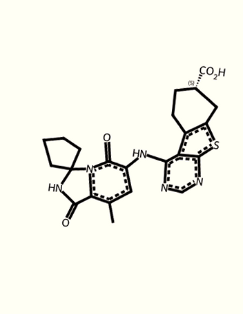 Cc1cc(Nc2ncnc3sc4c(c23)CC[C@H](C(=O)O)C4)c(=O)n2c1C(=O)NC21CCCC1